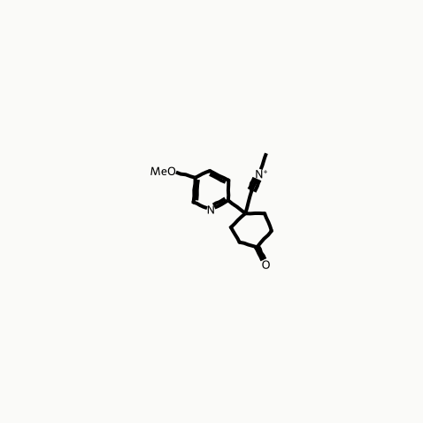 C[N+]#CC1(c2ccc(OC)cn2)CCC(=O)CC1